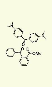 CN(C)c1ccc(C(=O)c2ccc(N(C)C)cc2)cc1.COC(=O)c1ccccc1C(=O)c1ccccc1